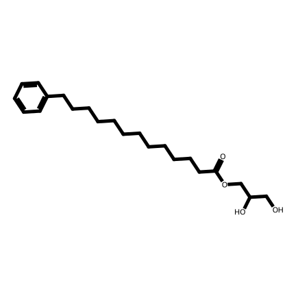 O=C(CCCCCCCCCCCCc1ccccc1)OCC(O)CO